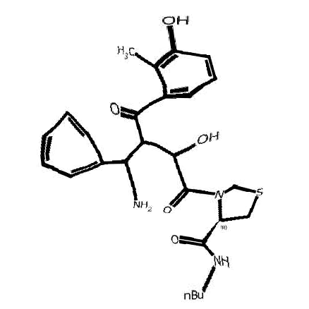 CCCCNC(=O)[C@@H]1CSCN1C(=O)C(O)C(C(=O)c1cccc(O)c1C)C(N)c1ccccc1